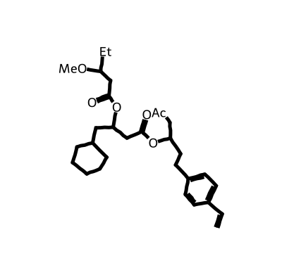 C=Cc1ccc(CCC(CC(C)=O)OC(=O)CC(CC2CCCCC2)OC(=O)CC(CC)OC)cc1